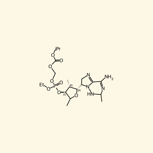 CCOP(=O)(OCOC(=O)OC(C)C)O[C@@H]1C(C)O[C@@H](C2CN=C3C(N)=NC(C)NN32)[C@H]1C